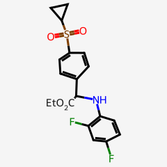 CCOC(=O)C(Nc1ccc(F)cc1F)c1ccc(S(=O)(=O)C2CC2)cc1